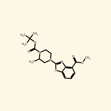 COC(=O)c1cccc2oc(N3CCN(C(=O)OC(C)(C)C)C(C)C3)nc12